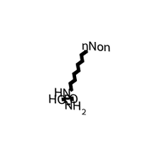 CCCCCCCCCCCCCCCCCCNP(N)(=O)O